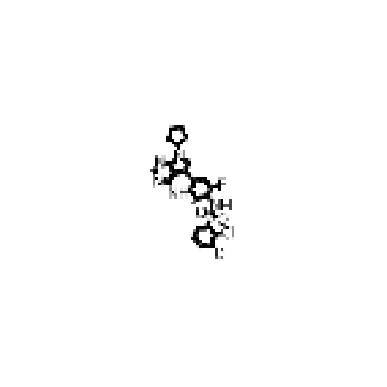 Nc1ncnc2c1c(-c1ccc(NS(=O)(=O)c3cccc(Cl)c3Cl)c(F)c1)cn2C1CCCC1